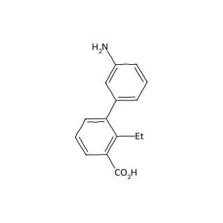 CCc1c(C(=O)O)cccc1-c1cccc(N)c1